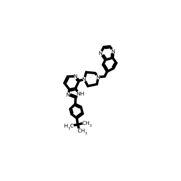 CC(C)(C)c1ccc(-c2nc3ccnc(N4CCN(Cc5ccc6nccnc6c5)CC4)c3[nH]2)cc1